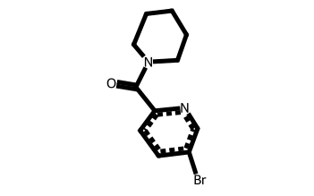 O=C(c1ccc(Br)cn1)N1CCCCC1